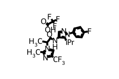 Cc1nc(C(F)(F)F)cn1C(C)C(=O)Nc1cnn(-c2ccc(F)cc2)c1C(C)C.O=C(O)C(F)(F)F